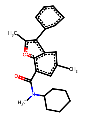 Cc1cc(C(=O)N(C)C2CCCCC2)c2oc(C)c(-c3ccccc3)c2c1